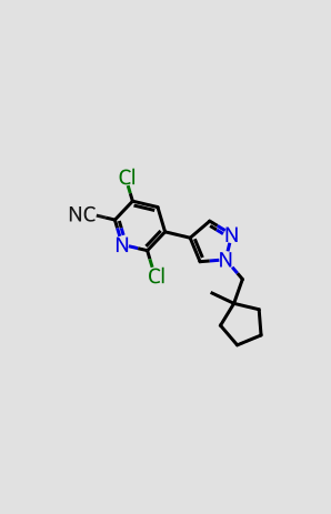 CC1(Cn2cc(-c3cc(Cl)c(C#N)nc3Cl)cn2)CCCC1